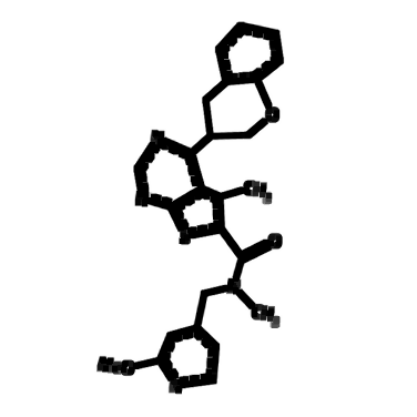 COc1cc(CN(C)C(=O)c2sc3ncnc(C4COc5ccccc5C4)c3c2C)ccn1